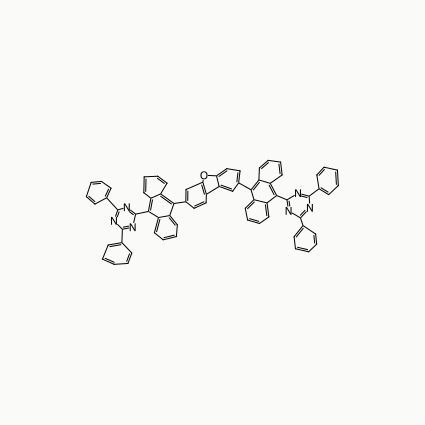 c1ccc(-c2nc(-c3ccccc3)nc(-c3c4ccccc4c(-c4ccc5c(c4)oc4ccc(-c6c7ccccc7c(-c7nc(-c8ccccc8)nc(-c8ccccc8)n7)c7ccccc67)cc45)c4ccccc34)n2)cc1